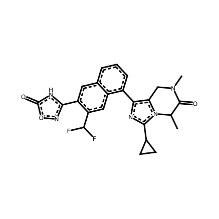 CC1C(=O)N(C)Cc2c(-c3cccc4cc(-c5noc(=O)[nH]5)c(C(F)F)cc34)nc(C3CC3)n21